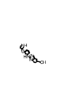 C#Cc1ccc2nc(Nc3cccc(O[C@@H]4CCNC4)c3)ncc2c1